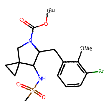 COc1c(Br)cccc1CC1C(NS(C)(=O)=O)C2(CC2)CN1C(=O)OC(C)(C)C